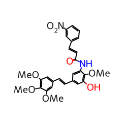 COc1cc(/C=C/c2cc(O)c(OC)c(NC(=O)/C=C/c3cccc([N+](=O)[O-])c3)c2)cc(OC)c1OC